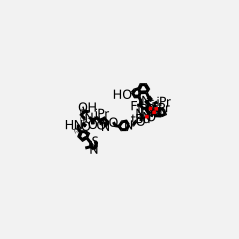 Cc1ncsc1-c1ccc([C@H](C)NC(=O)[C@@H]2C[C@@H](O)CN2C(=O)[C@@H](c2cc(OCC3CCN(CCOc4nc(N5CC6CCC(C5)N6C(=O)OC(C)(C)C)c5cnc(-c6cc(O)cc7cccc(C#C[Si](C(C)C)(C(C)C)C(C)C)c67)c(F)c5n4)CC3)no2)C(C)C)cc1